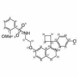 COc1ccccc1S(=O)(=O)NCCOc1ccc2c(c1)C(C1(c3ccc(Cl)cc3)CCC1)=NCC2